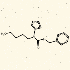 CCCCCN(C(=O)OCc1ccccc1)n1cccc1